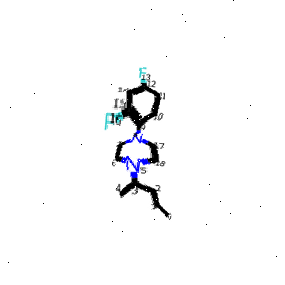 CCCC(C)N1CCN(c2ccc(F)cc2F)CC1